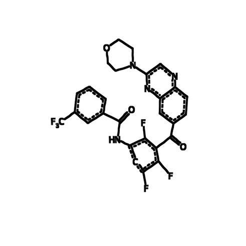 O=C(Nc1cc(F)c(F)c(C(=O)c2ccc3ncc(N4CCOCC4)nc3c2)c1F)c1cccc(C(F)(F)F)c1